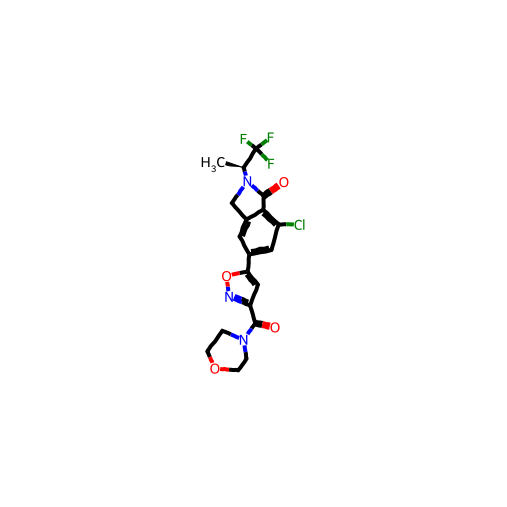 C[C@H](N1Cc2cc(-c3cc(C(=O)N4CCOCC4)no3)cc(Cl)c2C1=O)C(F)(F)F